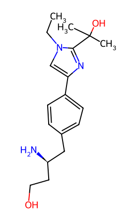 CCn1cc(-c2ccc(C[C@H](N)CCO)cc2)nc1C(C)(C)O